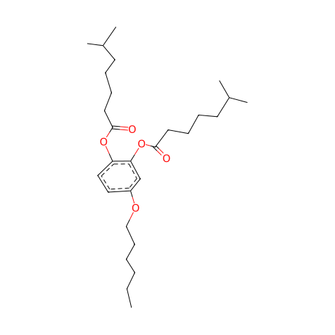 CCCCCCOc1ccc(OC(=O)CCCCC(C)C)c(OC(=O)CCCCC(C)C)c1